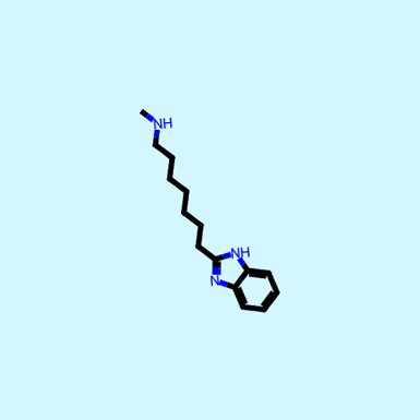 CNCCCCCCCc1nc2ccccc2[nH]1